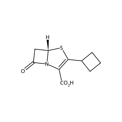 O=C(O)C1=C(C2CCC2)S[C@H]2CC(=O)N12